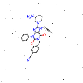 CC#CCn1c(N2CCC[C@@H](N)C2)nc2c1c(=O)n(Cc1ccc(C#N)cc1)c(=O)n2-c1ccccc1